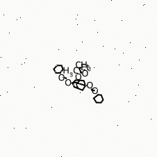 CCC(C)(C)C(=O)OC12CC3CC(OCOC4CCCCC4)(CC(OCOC4CCCCC4)(C3)C1)C2